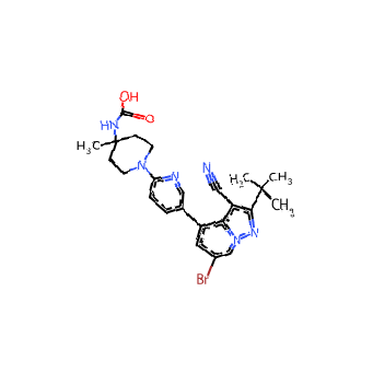 CC1(NC(=O)O)CCN(c2ccc(-c3cc(Br)cn4nc(C(C)(C)C)c(C#N)c34)cn2)CC1